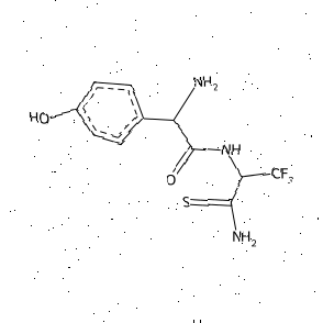 NC(=S)C(NC(=O)C(N)c1ccc(O)cc1)C(F)(F)F